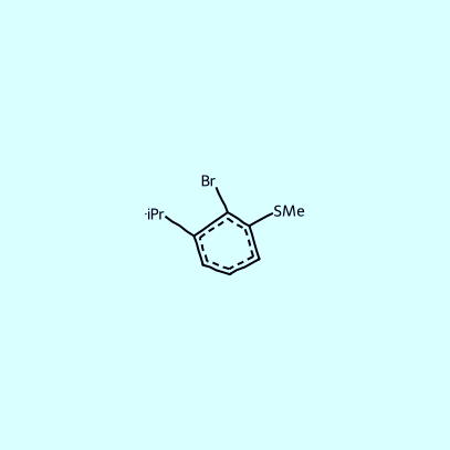 CSc1cccc([C](C)C)c1Br